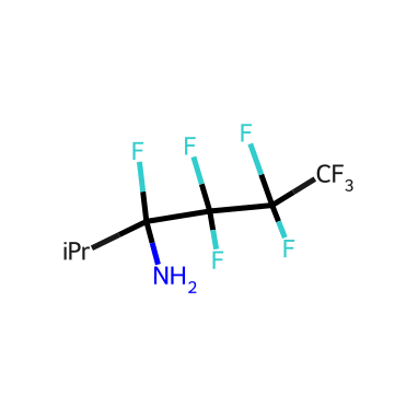 CC(C)C(N)(F)C(F)(F)C(F)(F)C(F)(F)F